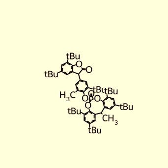 Cc1cc(C2C(=O)Oc3c2cc(C(C)(C)C)cc3C(C)(C)C)cc(C(C)(C)C)c1OP1(=O)Oc2c(cc(C(C)(C)C)cc2C(C)(C)C)C(C)c2cc(C(C)(C)C)cc(C(C)(C)C)c2O1